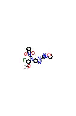 CCOc1cc(F)cc(N(CCN2C(=O)C3=CCCC=C3C2=O)c2ccc3ncc(-c4cnn(C5CCCCO5)c4)nc3c2)c1